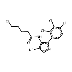 N#Cc1cnn(-c2ccc(Cl)c(Cl)c2Cl)c1NC(=O)CCCCCl